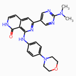 CN(C)c1ncc(-c2cc3cc[nH]c(=O)c3c(Nc3ccc(N4CCOCC4)cc3)n2)cn1